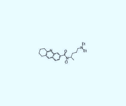 CCN(CC)CCCC(C)N(Cl)C(=O)c1ccc2cc3c(nc2c1)CCCC3